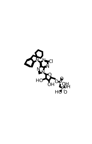 O=P(O)(O)CP(=O)(O)OCC1OC(n2cnc3c(N4c5ccccc5CC45CCCCC5)nc(Cl)nc32)C(O)C1O